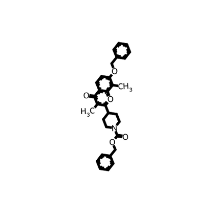 Cc1c(C2CCN(C(=O)OCc3ccccc3)CC2)oc2c(C)c(OCc3ccccc3)ccc2c1=O